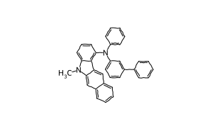 Cn1c2cc3ccccc3cc2c2c(N(c3ccccc3)c3cccc(-c4ccccc4)c3)cccc21